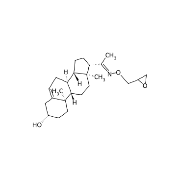 CC(=NOCC1CO1)[C@H]1CC[C@H]2[C@@H]3CC=C4C[C@@H](O)CC[C@]4(C)[C@H]3CC[C@]12C